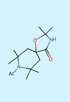 CC(=O)N1C(C)(C)CC2(CC1(C)C)OC(C)(C)NC2=O